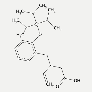 C=CC(CC(=O)O)Cc1ccccc1O[Si](C(C)C)(C(C)C)C(C)C